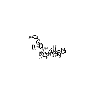 CC(NC(Cc1ccccn1)=S(=O)=O)c1nc(-c2cc3c(Nc4ccc(OCc5cccc(F)c5)c(Br)c4)ncnc3cc2F)cs1